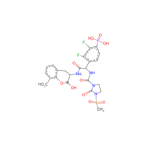 CS(=O)(=O)N1CCN(C(=O)NC(C(=O)NC2Cc3cccc(C(=O)O)c3OB2O)c2ccc(P(=O)(O)O)c(F)c2F)C1=O